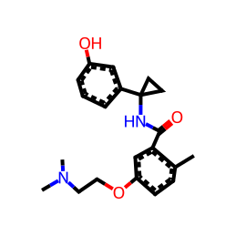 Cc1ccc(OCCN(C)C)cc1C(=O)NC1(c2cccc(O)c2)CC1